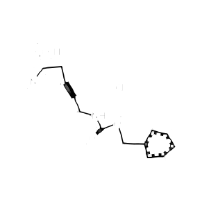 Cl.N[C@@H](CC#CCNC(=O)OCc1ccccc1)C(=O)O